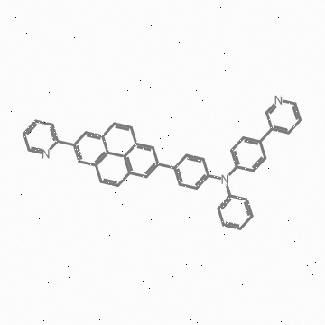 c1ccc(N(c2ccc(-c3cccnc3)cc2)c2ccc(-c3cc4ccc5cc(-c6ccccn6)cc6ccc(c3)c4c56)cc2)cc1